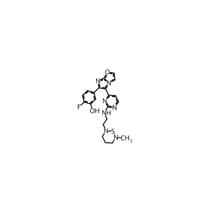 CN1CCCN(CCNc2nccc(-c3c(-c4ccc(F)c(O)c4)nc4occn34)n2)S1